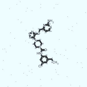 CCc1cc(Cl)cc(NC(=O)N2CCN(c3nsnc3OCc3ccnc(N)n3)CC2)c1